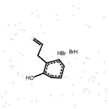 Br.Br.C=CCc1ccccc1O